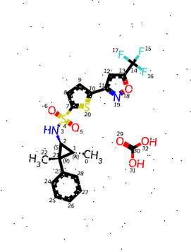 C[C@H]1[C@H](NS(=O)(=O)c2ccc(-c3cc(C(F)(F)F)on3)s2)[C@@]1(C)c1ccccc1.O=C(O)O